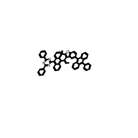 C=Cc1oc2ccc(-c3c4ccccc4c(-c4ccccc4)c4ccccc34)cc2c1/C(=C\C)c1c2ccccc2c(-c2nc(-c3ccccc3)nc(-c3ccccc3)n2)c2ccccc12